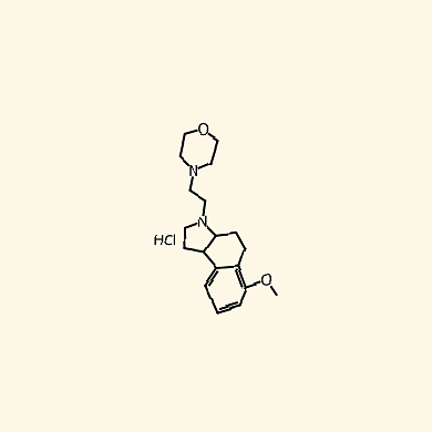 COc1cccc2c1CCC1C2CCN1CCN1CCOCC1.Cl